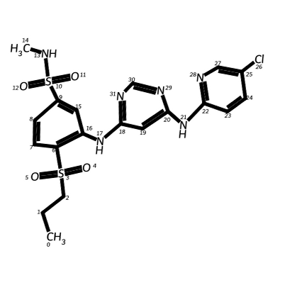 CCCS(=O)(=O)c1ccc(S(=O)(=O)NC)cc1Nc1cc(Nc2ccc(Cl)cn2)ncn1